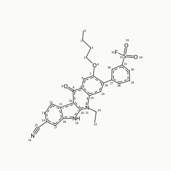 CCCCOc1cc2c(=O)c3c4ccc(C#N)cc4[nH]c3n(CC)c2cc1-c1cccc(S(=O)(=O)F)c1